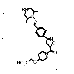 CC1CNCC(C)N1N=Cc1ccc(C2=NOC(C(=O)N3CCC(OCC(=O)O)CC3)C2)cc1